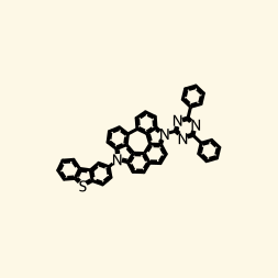 c1ccc(-c2nc(-c3ccccc3)nc(-n3c4cccc5c4c4c6c(ccc7c6c6c-5cccc6n7-c5ccc6sc7ccccc7c6c5)ccc43)n2)cc1